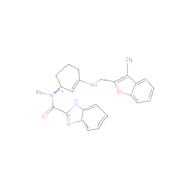 CCN(C(=O)c1nc2ccccc2[nH]1)[C@@H]1C=C(NCc2oc3ccccc3c2C#N)CCC1